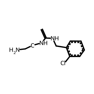 C=C(NCCN)NCc1ccccc1Cl